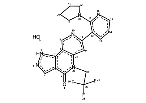 Cl.O=c1c2cn[nH]c2c2cnc(-c3cccnc3N3CCCC3)cc2n1CC(F)(F)F